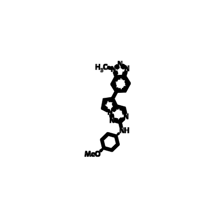 CO[C@H]1CC[C@H](Nc2ncc3c(-c4ccc5nnn(C)c5c4)ccn3n2)CC1